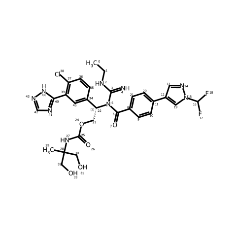 CCNC(=N)N(C(=O)c1ccc(-c2cnn(C(F)F)c2)cc1)[C@H](COC(=O)NC(C)(CO)CO)c1ccc(Cl)c(-c2ncn[nH]2)c1